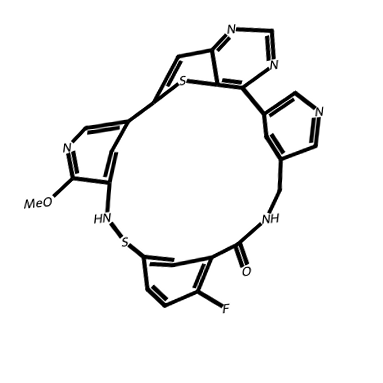 COc1ncc2cc1NSc1ccc(F)c(c1)C(=O)NCc1cncc(c1)-c1ncnc3cc-2sc13